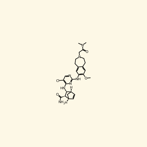 COc1cc2c(cc1Nc1ncc(Cl)c(N[C@@H]3[C@H](C(N)=O)[C@H]4C=C[C@@H]3C4)n1)CCN(CC(=O)N(C)C)CC2